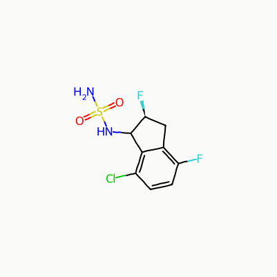 NS(=O)(=O)NC1c2c(Cl)ccc(F)c2C[C@@H]1F